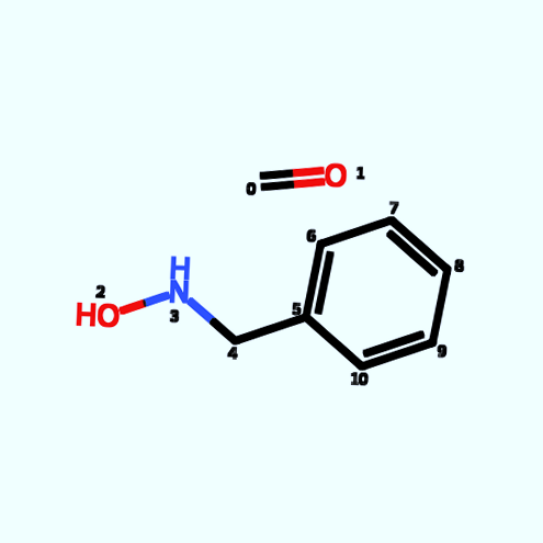 C=O.ONCc1ccccc1